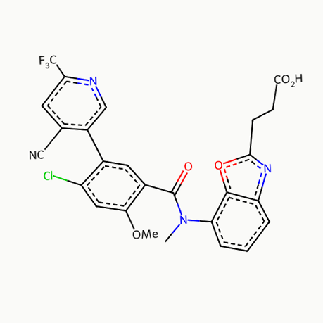 COc1cc(Cl)c(-c2cnc(C(F)(F)F)cc2C#N)cc1C(=O)N(C)c1cccc2nc(CCC(=O)O)oc12